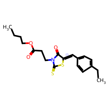 CCCCOC(=O)CCN1C(=O)/C(=C/c2ccc(CC)cc2)SC1=S